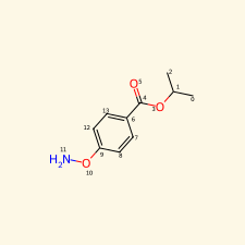 CC(C)OC(=O)c1ccc(ON)cc1